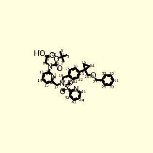 CC(C)(C)OC(=O)N(CC(=O)O)c1cccc(CN(Cc2ccc(C3(COCc4ccccc4)CC3)cc2)S(=O)(=O)c2ccccn2)n1